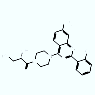 CC(C)C[C@@H](O)C(=O)N1CCN(c2nc(-c3ccccc3O)nc3cc(C(=O)O)ccc23)CC1